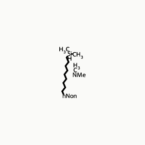 CCCCCCCCCCCCCCCCCC[SiH](C)C.CNC